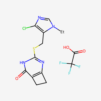 CCn1cnc(Cl)c1CSc1nc2c(c(=O)[nH]1)CC2.O=C(O)C(F)(F)F